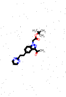 CC(=O)c1nn(CC(=O)OC(C)(C)C)c2ccc(CCc3ncccn3)cc12